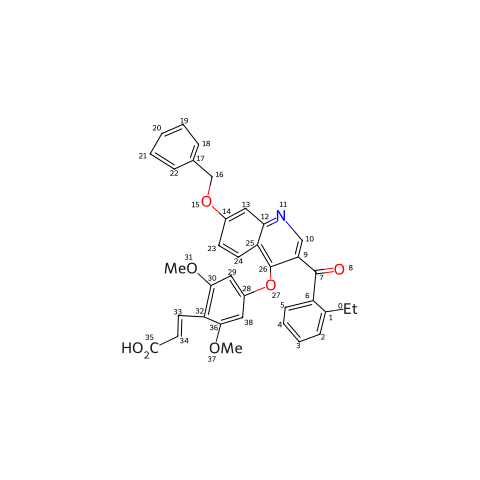 CCc1ccccc1C(=O)c1cnc2cc(OCc3ccccc3)ccc2c1Oc1cc(OC)c(/C=C/C(=O)O)c(OC)c1